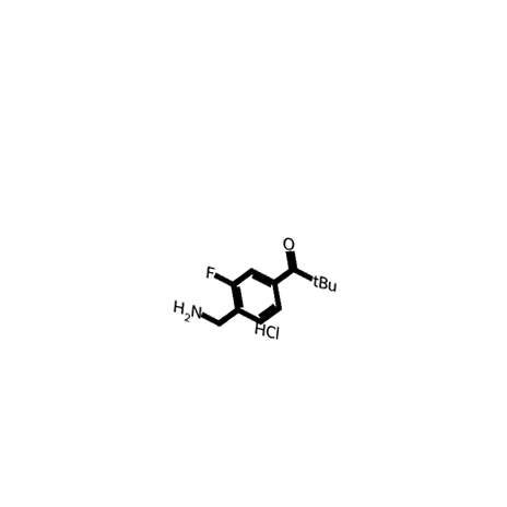 CC(C)(C)C(=O)c1ccc(CN)c(F)c1.Cl